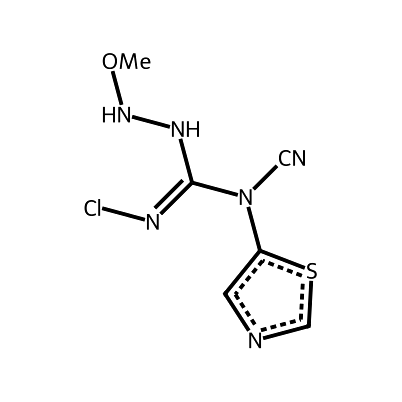 CONNC(=NCl)N(C#N)c1cncs1